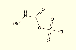 CC(C)(C)NC(=O)OS(=O)(=O)Cl